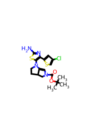 CC(C)(C)OC(=O)N1C=C2C(CCN2c2sc(N)nc2-c2cc(Cl)cs2)C1